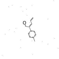 C=CC=C(C=O)c1ccc(C)cc1